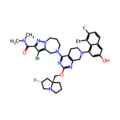 CCc1c(F)ccc2cc(O)cc(N3CCc4c(nc(OC[C@@]56CCCN5C[C@H](F)C6)nc4N4CCCn5nc(C(=O)N(C)C)c(Br)c5C4)C3)c12